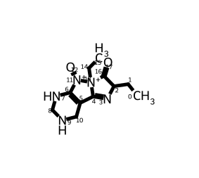 CCC1N=C2C3=C(NCNC3)[N+](=O)[N+]2(CC)C1=O